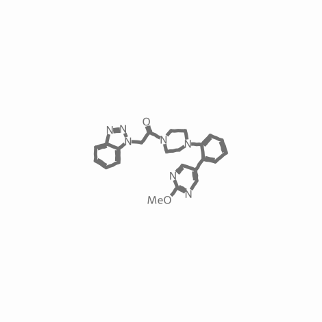 COc1ncc(-c2ccccc2N2CCN(C(=O)Cn3nnc4ccccc43)CC2)cn1